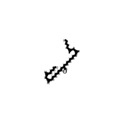 CCCCCC1CC1CC1CC1CCCCCCCCC(C=O)CCCCCCCCC1CC1CC1CC1CCCCC